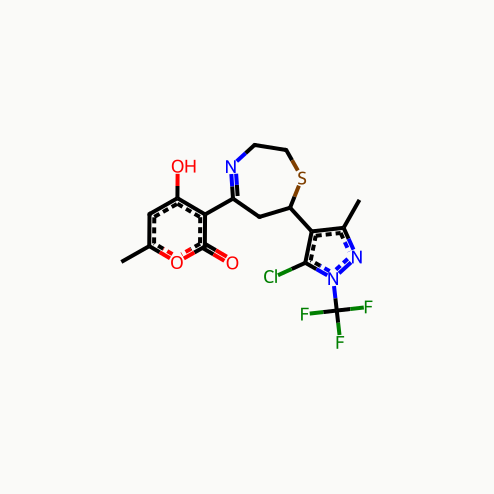 Cc1cc(O)c(C2=NCCSC(c3c(C)nn(C(F)(F)F)c3Cl)C2)c(=O)o1